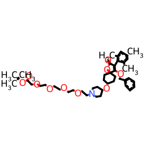 Cc1cc(C)c(C2=C(OCc3ccccc3)C3(CCC(OC4CCN(CCOCCOCCOCCOCC(=O)OC(C)(C)C)CC4)CC3)OC2=O)c(C)c1